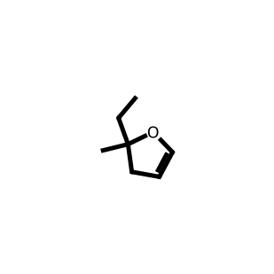 CCC1(C)CC=CO1